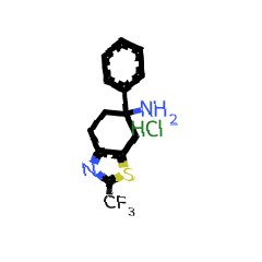 Cl.NC1(c2ccccc2)CCc2nc(C(F)(F)F)sc2C1